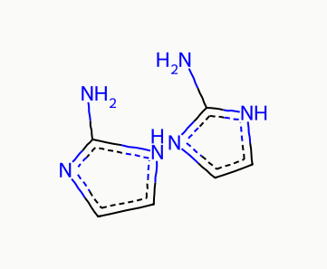 Nc1ncc[nH]1.Nc1ncc[nH]1